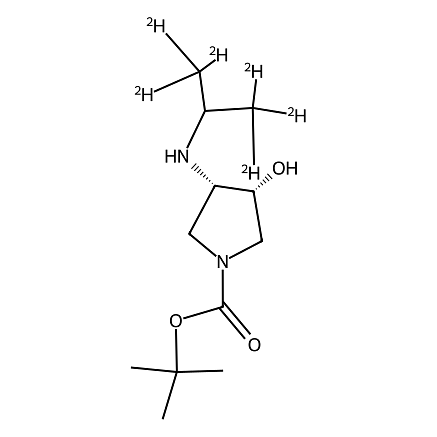 [2H]C([2H])([2H])C(N[C@H]1CN(C(=O)OC(C)(C)C)C[C@H]1O)C([2H])([2H])[2H]